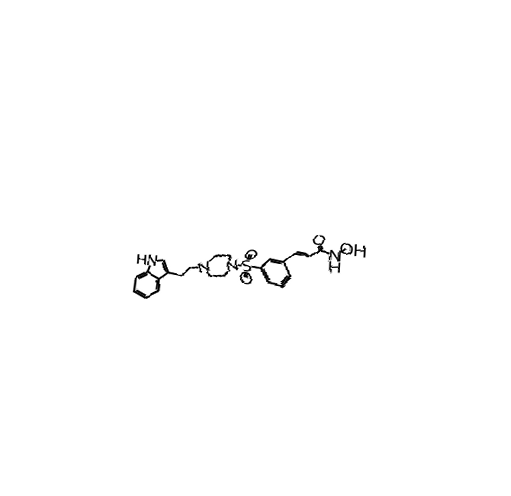 O=C(/C=C/c1cccc(S(=O)(=O)N2CCN(CCc3c[nH]c4ccccc34)CC2)c1)NO